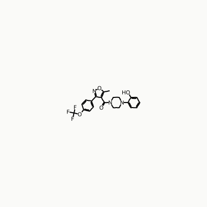 Cc1onc(-c2ccc(OC(F)(F)F)cc2)c1C(=O)N1CCN(c2ccccc2O)CC1